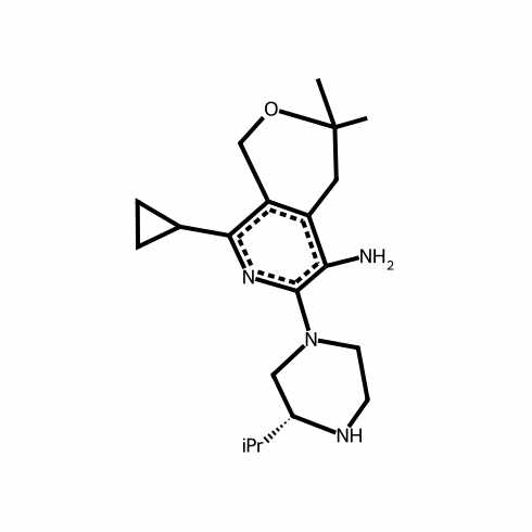 CC(C)[C@@H]1CN(c2nc(C3CC3)c3c(c2N)CC(C)(C)OC3)CCN1